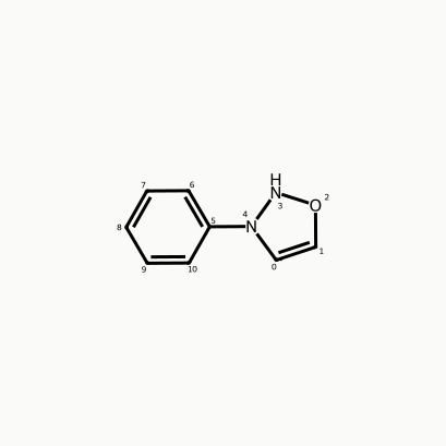 [C]1=CONN1c1ccccc1